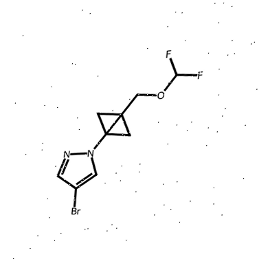 FC(F)OCC12CC1(n1cc(Br)cn1)C2